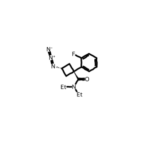 CCN(CC)C(=O)[C@]1(c2ccccc2F)C[C@@H](N=[N+]=[N-])C1